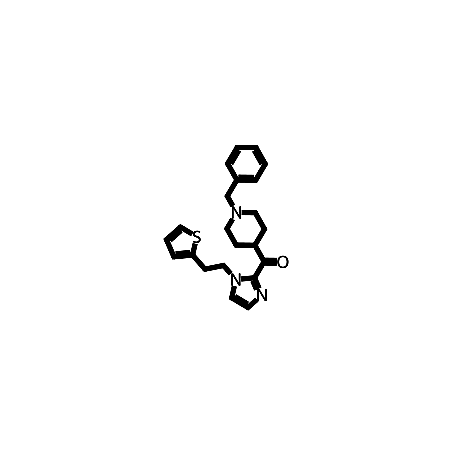 O=C(c1nccn1CCc1cccs1)C1CCN(Cc2ccccc2)CC1